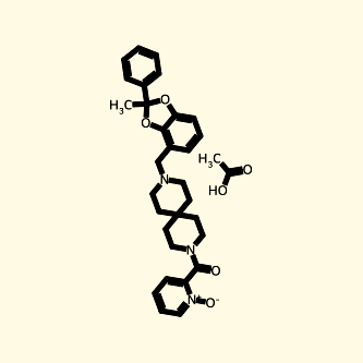 CC(=O)O.CC1(c2ccccc2)Oc2cccc(CN3CCC4(CC3)CCN(C(=O)c3cccc[n+]3[O-])CC4)c2O1